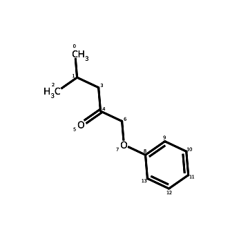 CC(C)CC(=O)COc1ccccc1